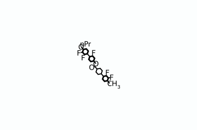 CCCOc1ccc(-c2ccc(OC(=O)C3CCC(c4ccc(C)c(F)c4F)CC3)cc2F)c(F)c1F